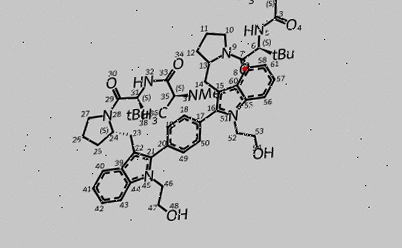 CN[C@@H](C)C(=O)N[C@H](C(=O)N1CCCC1Cc1c(-c2ccc(-c3c(C[C@@H]4CCCN4C(=O)[C@@H](NC(=O)[C@H](C)NC)C(C)(C)C)c4ccccc4n3CCO)cc2)n(CCO)c2ccccc12)C(C)(C)C